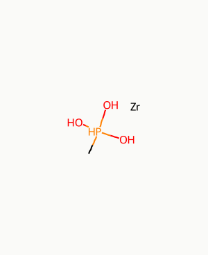 C[PH](O)(O)O.[Zr]